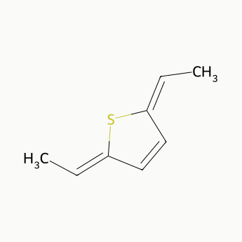 CC=c1ccc(=CC)s1